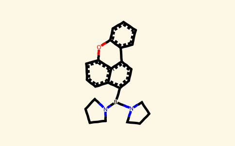 c1ccc2c(c1)Oc1cccc3c(B(N4CCCC4)N4CCCC4)ccc-2c13